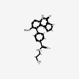 COc1ccc2[nH]c(=O)c3sccc3c2c1-c1ccc(C(=O)NCCO)cc1